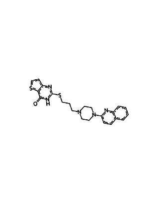 O=c1[nH]c(SCCCN2CCN(c3ccc4ccccc4n3)CC2)nc2ccsc12